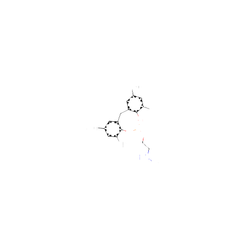 CC(C)(C)NCCOP1Oc2c(cc(C(C)(C)C)cc2C(C)(C)C)Cc2cc(C(C)(C)C)cc(C(C)(C)C)c2O1